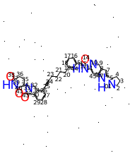 CN1CCC[C@@H]1c1cc2cnc(NC(=O)c3cccc(CCCCC#Cc4cccc5c4CN(C4CCC(=O)NC4=O)C5=O)c3)cc2[nH]1